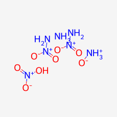 N.N[N+](=O)[O-].N[N+](=O)[O-].O=[N+]([O-])O.[NH3+][O-]